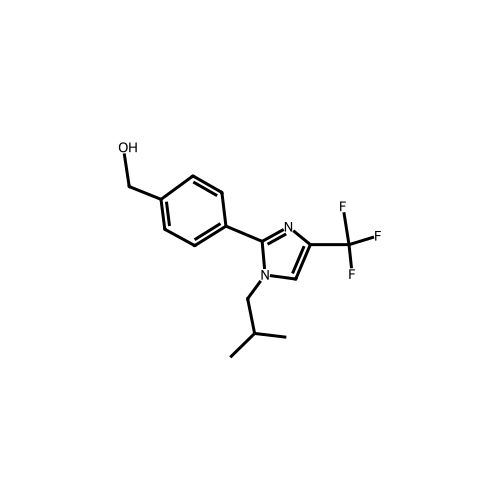 CC(C)Cn1cc(C(F)(F)F)nc1-c1ccc(CO)cc1